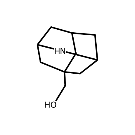 OCC12CC3CC(C1)NC(C3)C2